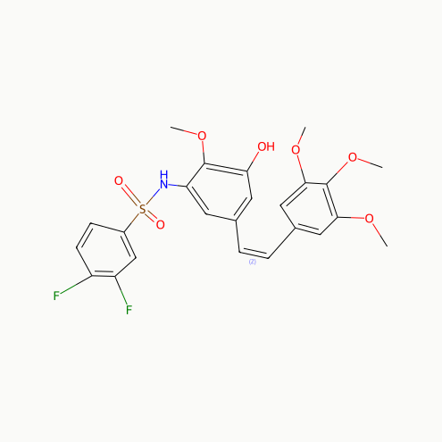 COc1cc(/C=C\c2cc(O)c(OC)c(NS(=O)(=O)c3ccc(F)c(F)c3)c2)cc(OC)c1OC